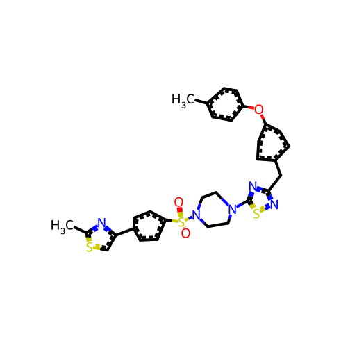 Cc1ccc(Oc2ccc(Cc3nsc(N4CCN(S(=O)(=O)c5ccc(-c6csc(C)n6)cc5)CC4)n3)cc2)cc1